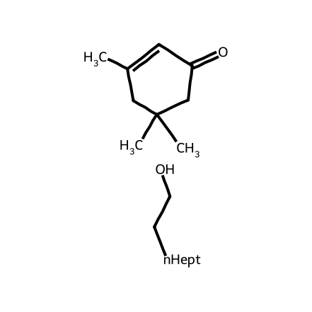 CC1=CC(=O)CC(C)(C)C1.CCCCCCCCCO